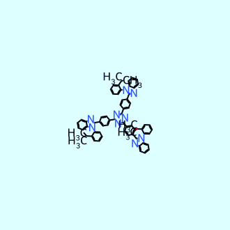 CC(C)c1ccccc1-n1c(-c2ccc(-c3nc(-c4ccc(-c5nc6ccccc6n5-c5ccccc5C(C)C)cc4)nc(-c4ccc(-c5nc6ccccc6n5-c5ccccc5C(C)C)cc4)n3)cc2)nc2ccccc21